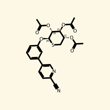 CC(=O)O[C@@H]1[C@@H](OC(C)=O)[C@H](OC(C)=O)CS[C@H]1Oc1cccc(-c2ccc(C#N)nc2)c1